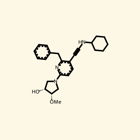 CO[C@H]1CN(c2ccc(C#CNC3CCCCC3)c(Cc3ccccc3)n2)C[C@H]1O